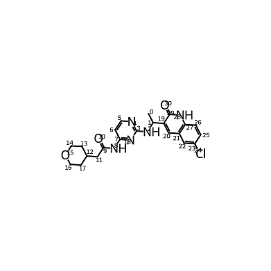 CC(Nc1nccc(NC(=O)CC2CCOCC2)n1)c1cc2cc(Cl)ccc2[nH]c1=O